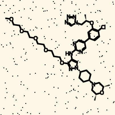 COCCOCCOCCOCCCOc1nn([C@H]2CC[C@H](N3C[C@@H](C)O[C@@H](C)C3)CC2)cc1Nc1ncc(-c2ccc(Cl)c(O[C@@H](C)Cn3cnnn3)c2)cn1